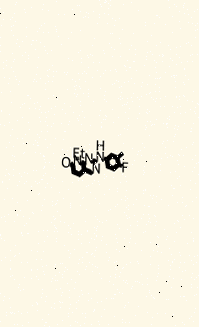 CCn1c(=O)ccc2cnc(Nc3ccc(F)c(C)c3)nc21